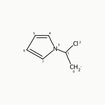 [CH2]C(Cl)n1cccc1